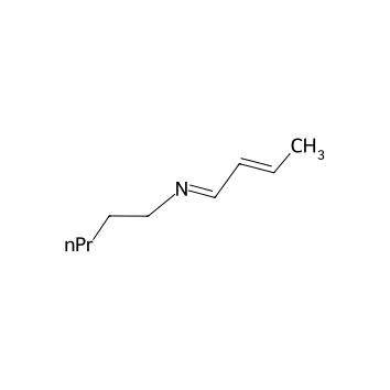 CC=CC=NCCCCC